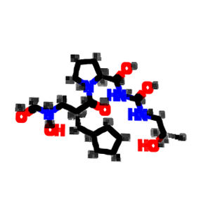 C[C@H](O)CNC(=O)NC(=O)[C@@H]1CCCN1C(=O)[C@H](CC1CCCC1)CN(O)C=O